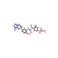 CS(=O)(=O)c1ccc(C(=O)N2CCOc3ccc(-c4ccc5nc[nH]c5c4)cc3C2)c(Cl)c1